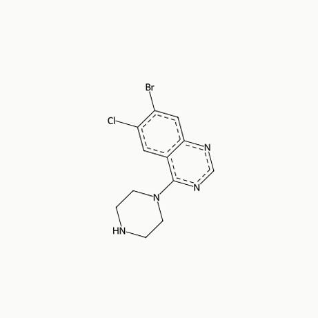 Clc1cc2c(N3CCNCC3)ncnc2cc1Br